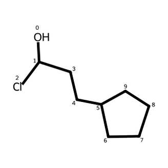 OC(Cl)CCC1CCCC1